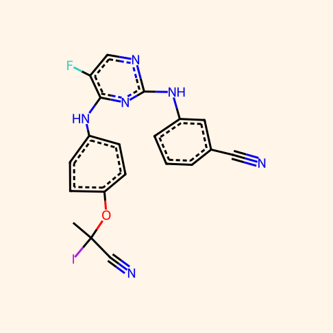 CC(I)(C#N)Oc1ccc(Nc2nc(Nc3cccc(C#N)c3)ncc2F)cc1